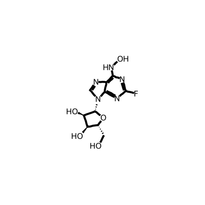 OC[C@H]1O[C@@H](n2cnc3c(NO)nc(F)nc32)[C@H](O)[C@@H]1O